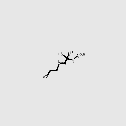 O=C(O)OC(O)(O)COCCO